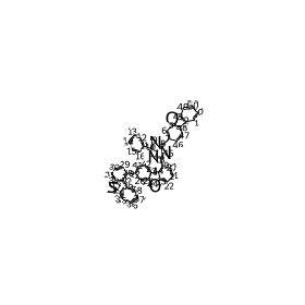 C1=Cc2c(oc3cc(-c4nc(-c5ccccc5)nc(-c5cccc6oc7cc(-c8cccc9sc%10ccccc%10c89)ccc7c56)n4)ccc23)CC1